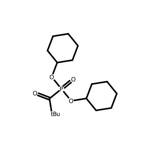 CC(C)(C)C(=O)P(=O)(OC1CCCCC1)OC1CCCCC1